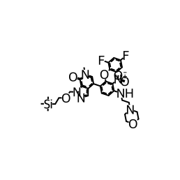 Cn1cc(-c2ccc(NCCN3CCOCC3)c([N+](=O)[O-])c2Oc2ccc(F)cc2F)c2cnn(COCC[Si](C)(C)C)c2c1=O